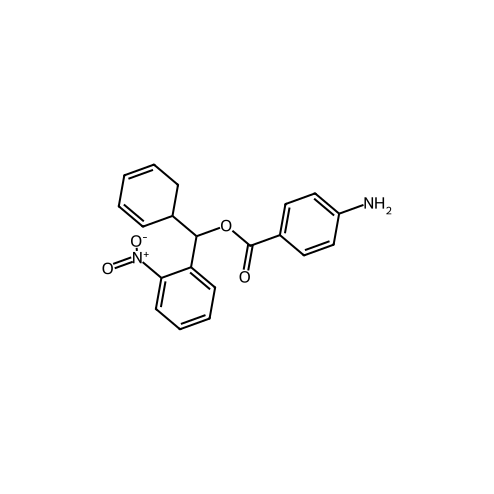 Nc1ccc(C(=O)OC(c2ccccc2[N+](=O)[O-])C2C=CC=CC2)cc1